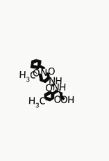 COc1ccccc1Cn1cccc(NC(=O)N[C@@H](CC(=O)O)c2ccc(C)cc2)c1=O